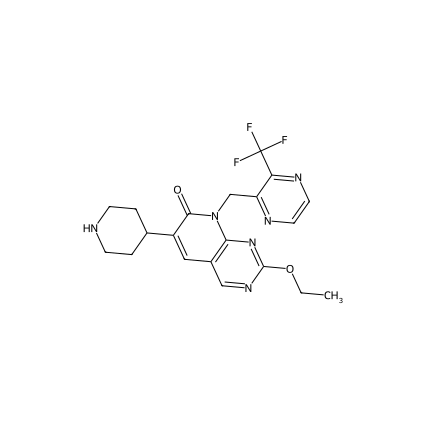 CCOc1ncc2cc(C3CCNCC3)c(=O)n(Cc3nccnc3C(F)(F)F)c2n1